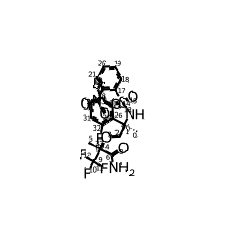 C[C@@](CO[C@](C)(C(N)=O)C(F)(F)F)(NS(=O)(=O)c1ccccc1[N+](=O)[O-])c1cc(Br)ccc1F